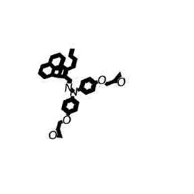 C=C/C=C\C1=C(C=NN(c2ccc(OCC3CO3)cc2)c2ccc(OCC3CO3)cc2)C2CC34C(=CC=CC23)C=CC=C14